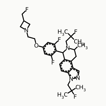 CC1Cc2c(ccc3c2cnn3CC(C)(C)F)C(c2c(F)cc(OCCN3CC(CF)C3)cc2F)N1CC(C)(C)F